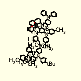 Cc1ccc(N2c3ccc(C)cc3B3c4ccc(N(c5ccccc5)c5ccccc5)cc4N(c4ccccc4)c4c3c2cc(N(c2ccccc2)c2cccc(CC(C)(C)c3ccc5c(c3)B3c6cc(C)ccc6N(c6ccc(C)cc6)c6c([Si](C)(C)C)ccc(c63)N5c3ccc(C(C)(C)C)cc3)c2)c4[Si](C)(C)c2ccccc2)cc1